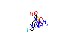 CC(C)(O)c1ncc(S(N)(=O)=NC(=O)Nc2c3c(nc4c2CCC4F)CCC3)s1